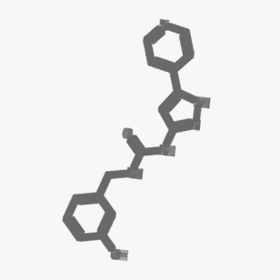 O=C(NCc1cccc(O)c1)Nc1cc(-c2ccncc2)[nH]n1